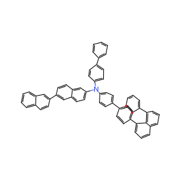 c1ccc(-c2ccc(N(c3ccc(-c4ccc(-c5cccc6cccc(-c7ccccc7)c56)cc4)cc3)c3ccc4cc(-c5ccc6ccccc6c5)ccc4c3)cc2)cc1